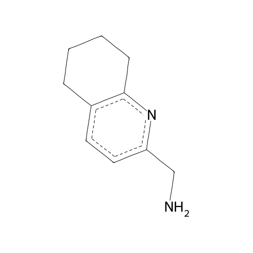 NCc1ccc2c(n1)CCCC2